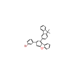 CC1(C)c2ccccc2-c2cc(-c3cc(-c4cccc(Br)c4)cc4oc5ccccc5c34)ccc21